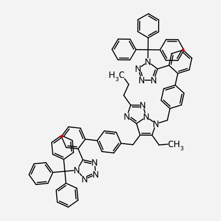 CCCc1nc2c(Cc3ccc(-c4ccccc4-c4nnnn4C(c4ccccc4)(c4ccccc4)c4ccccc4)cc3)c(CC)n(Cc3ccc(-c4ccccc4-c4nnnn4C(c4ccccc4)(c4ccccc4)c4ccccc4)cc3)n2n1